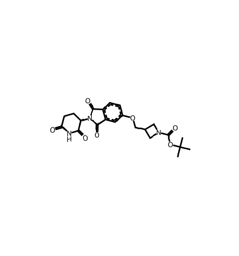 CC(C)(C)OC(=O)N1CC(COc2ccc3c(c2)C(=O)N(C2CCC(=O)NC2=O)C3=O)C1